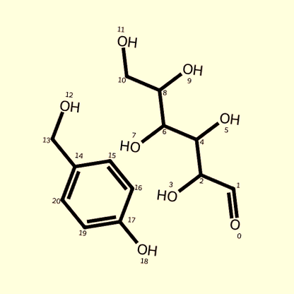 O=CC(O)C(O)C(O)C(O)CO.OCc1ccc(O)cc1